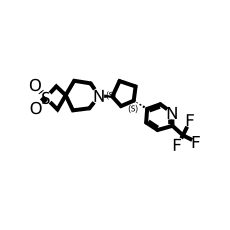 O=S1(=O)CC2(CCN([C@H]3CC[C@H](c4ccc(C(F)(F)F)nc4)C3)CC2)C1